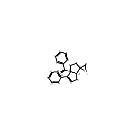 C=C(c1ccccc1)[C@@]12CCC3(CO3)C1CC=C2c1ccccc1